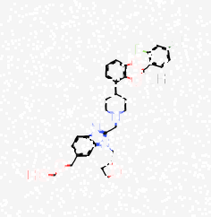 C[C@]1(c2ccc(Cl)cc2F)Oc2cccc(C3CCN(Cc4nc5ccc(COCO)cc5n4C[C@@H]4CCO4)CC3)c2O1